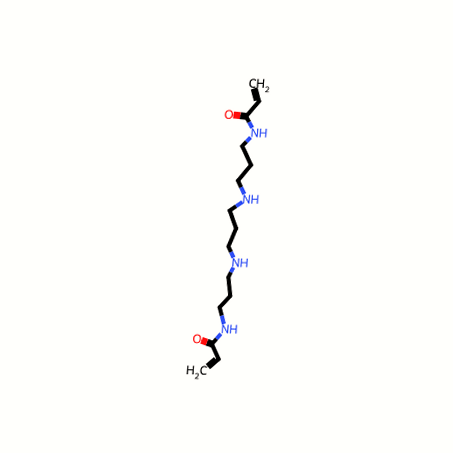 C=CC(=O)NCCCNCCCNCCCNC(=O)C=C